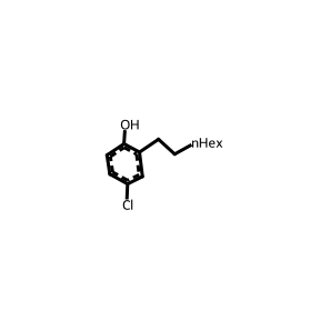 CCCCCCCCc1cc(Cl)ccc1O